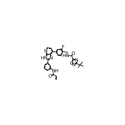 C=CC(=O)Nc1cccc(-c2nc3c(-c4ccc(CNC(=O)c5nc(C(C)(C)C)no5)c(F)c4)ccnc3[nH]2)c1